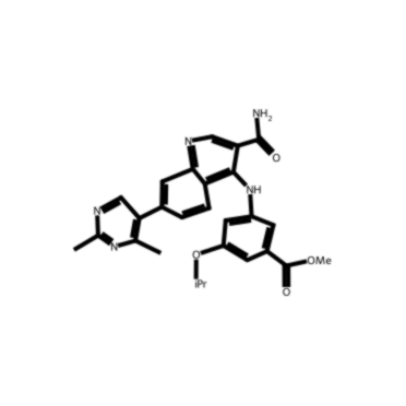 COC(=O)c1cc(Nc2c(C(N)=O)cnc3cc(-c4cnc(C)nc4C)ccc23)cc(OC(C)C)c1